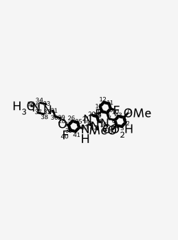 COc1ccc(OC)c(C(c2c(F)cccc2F)N(C(=O)O)c2ccnc(Nc3ccc(OCCCN4CCN(C)CC4)c(F)c3)n2)c1